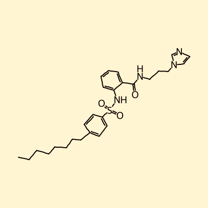 CCCCCCCCc1ccc(S(=O)(=O)Nc2ccccc2C(=O)NCCCn2ccnc2)cc1